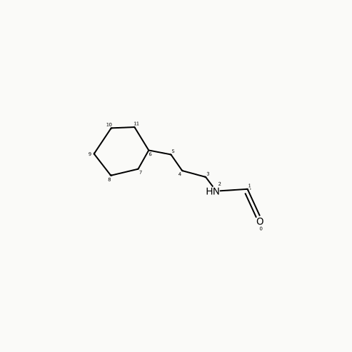 O=[C]NCCCC1CCCCC1